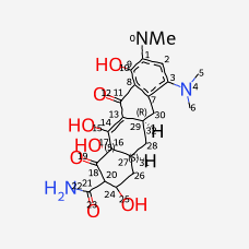 CNc1cc(N(C)C)c2c(c1O)C(=O)C1=C(O)[C@]3(O)C(=O)C(C(N)=O)C(O)C[C@@H]3C[C@@H]1C2